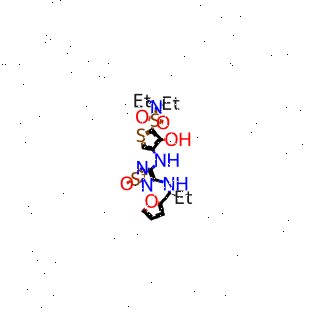 CC[C@@H](Nc1n[s+]([O-])nc1Nc1csc(S(=O)(=O)N(CC)CC)c1O)c1ccco1